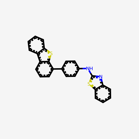 c1ccc2sc(Nc3ccc(-c4cccc5c4sc4ccccc45)cc3)nc2c1